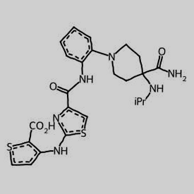 CC(C)NC1(C(N)=O)CCN(c2ccccc2NC(=O)c2csc(Nc3ccsc3C(=O)O)n2)CC1